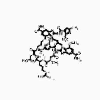 CCn1nc(C)cc1C(=O)Nc1nc2cc(C(N)=O)cc(OC)c2n1C/C=C/Cn1c(NC(=O)c2cc(C)nn2CC)nc2cc(C(N)=O)cc(OCCCNC(=O)[C@H](CC(=O)O)NC(=O)[C@H](CCCNC(=N)N)NC(=O)[C@@H](C)CC(=O)O)c21